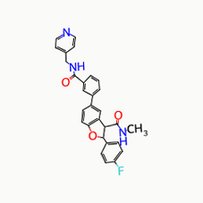 CNC(=O)C1c2cc(-c3cccc(C(=O)NCc4ccncc4)c3)ccc2OC1c1ccc(F)cc1